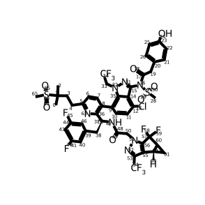 CC(C)(CCc1ccc(-c2ccc(Cl)c3c(N(C(=O)Cc4ccc(O)cc4)S(C)(=O)=O)nn(CC(F)(F)F)c23)c([C@H](Cc2cc(F)cc(F)c2)NC(=O)Cn2nc(C(F)(F)F)c3c2C(F)(F)C2C[C@H]32)n1)S(C)(=O)=O